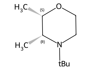 C[C@@H]1OCCN(C(C)(C)C)[C@@H]1C